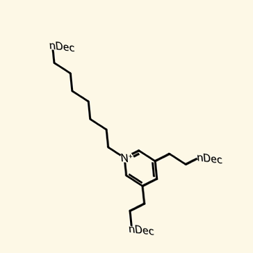 CCCCCCCCCCCCCCCCC[n+]1cc(CCCCCCCCCCCC)cc(CCCCCCCCCCCC)c1